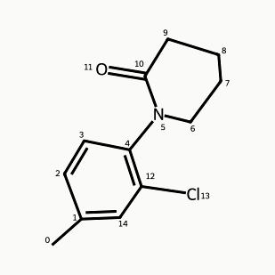 Cc1ccc(N2CCCCC2=O)c(Cl)c1